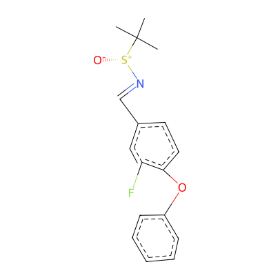 CC(C)(C)[S@@+]([O-])N=Cc1ccc(Oc2ccccc2)c(F)c1